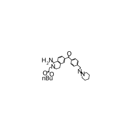 CCCCOC(=O)CN1CCc2cc(C(=O)c3ccc(C=NN4CCCCC4)cc3)ccc2C1N